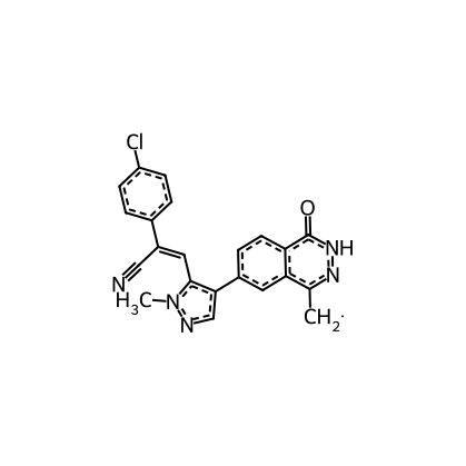 [CH2]c1n[nH]c(=O)c2ccc(-c3cnn(C)c3C=C(C#N)c3ccc(Cl)cc3)cc12